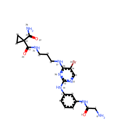 NCC(=O)Nc1cccc(Nc2ncc(Br)c(NCCCNC(=O)C3(C(N)=O)CC3)n2)c1